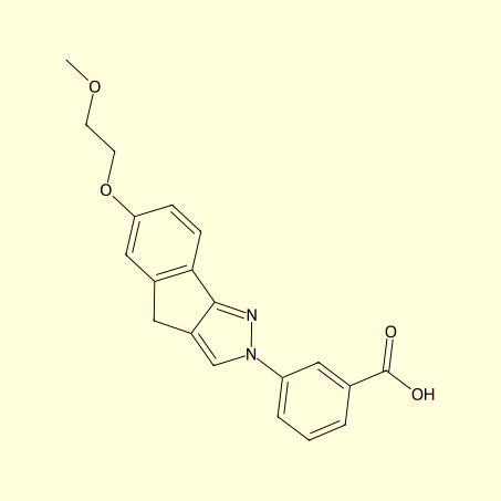 COCCOc1ccc2c(c1)Cc1cn(-c3cccc(C(=O)O)c3)nc1-2